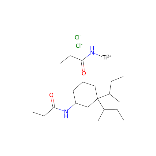 CCC(=O)NC1CCCC(C(C)CC)(C(C)CC)C1.CCC(=O)[NH][Ti+2].[Cl-].[Cl-]